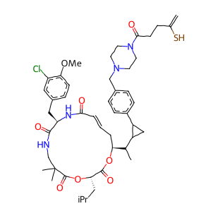 C=C(S)CCC(=O)N1CCN(Cc2ccc(C3CC3C(C)[C@@H]3C/C=C/C(=O)N[C@H](Cc4ccc(OC)c(Cl)c4)C(=O)NCC(C)(C)C(=O)O[C@@H](CC(C)C)C(=O)O3)cc2)CC1